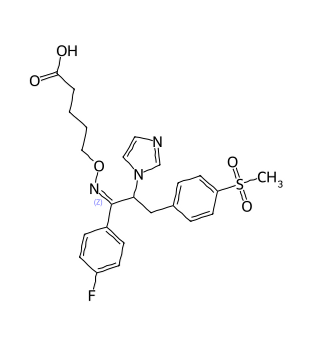 CS(=O)(=O)c1ccc(CC(/C(=N\OCCCCC(=O)O)c2ccc(F)cc2)n2ccnc2)cc1